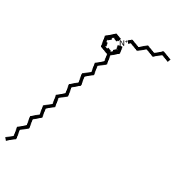 CCCCCCCCCCCCCCCCc1ccc[n+](CCCCCC)c1